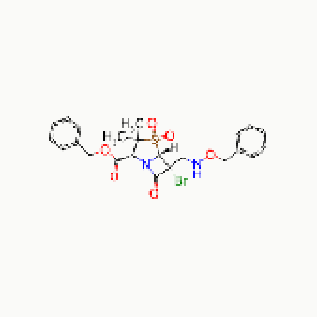 CC1(C)[C@H](C(=O)OCc2ccccc2)N2C(=O)[C@](Br)(CNOCc3ccccc3)[C@H]2S1(=O)=O